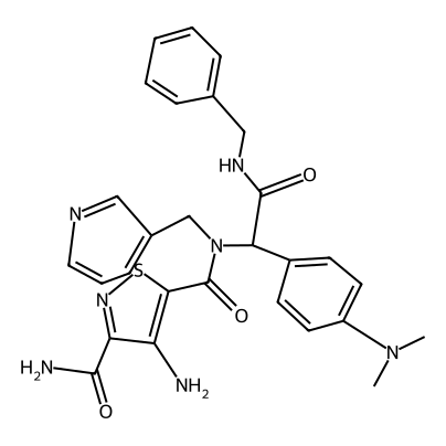 CN(C)c1ccc(C(C(=O)NCc2ccccc2)N(Cc2cccnc2)C(=O)c2snc(C(N)=O)c2N)cc1